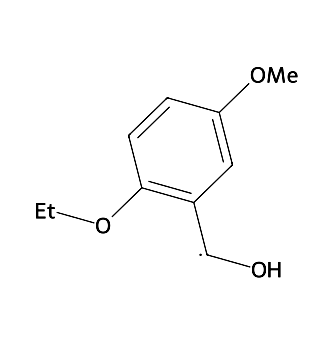 CCOc1ccc(OC)cc1[CH]O